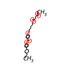 CCCC1CCC(c2ccc(OC(=O)c3ccc(OCCCCCCOC(=O)CCC(=O)OC)cc3)cc2)CC1